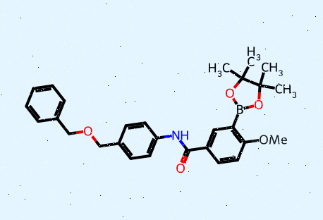 COc1ccc(C(=O)Nc2ccc(COCc3ccccc3)cc2)cc1B1OC(C)(C)C(C)(C)O1